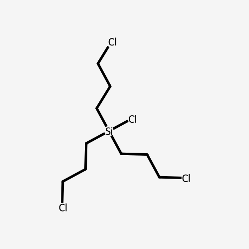 ClCCC[Si](Cl)(CCCCl)CCCCl